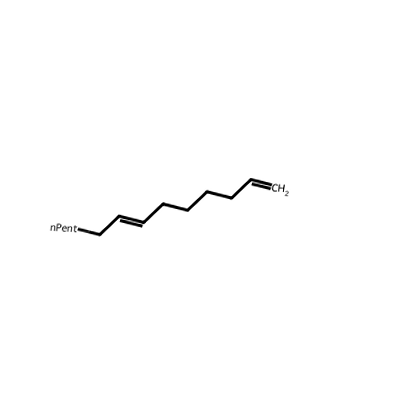 [CH2]CCCCC/C=C/CCCCC=C